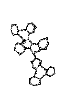 c1ccc2c(c1)c1ccccc1c1cc(-n3c4ccccc4c4c5c6ccccc6c6ccccc6c5c5ccccc5c43)ccc21